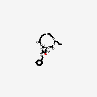 [2H]C([2H])([2H])N1CC(=O)OC(CCC)C/C=C/CCCCC(=O)N/C1=N/C(=O)OCc1ccccc1